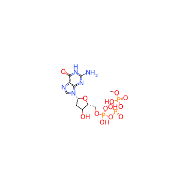 COP(=O)(O)OP(=O)(O)OP(=O)(O)OC[C@H]1O[C@@H](n2cnc3c(=O)[nH]c(N)nc32)CC1O